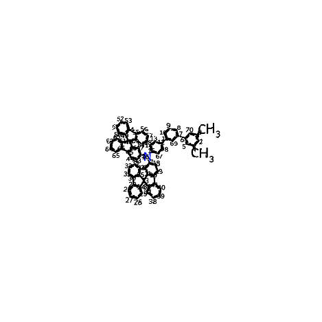 Cc1cc(C)cc(-c2cccc(-c3ccc(N(c4ccc5c(c4)C4(c6ccccc6-c6ccccc64)c4ccccc4-5)c4ccc5c(c4)C4(c6ccccc6-c6ccccc64)c4ccccc4-5)cc3)c2)c1